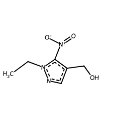 CCn1ncc(CO)c1[N+](=O)[O-]